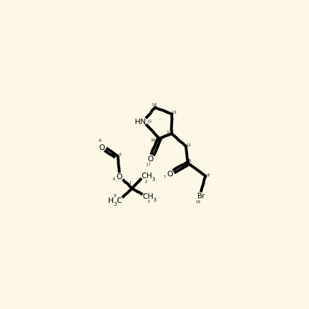 CC(C)(C)OC=O.O=C(CBr)CC1CCNC1=O